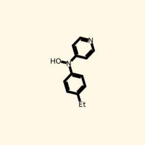 CCc1ccc(N(O)c2ccncc2)cc1